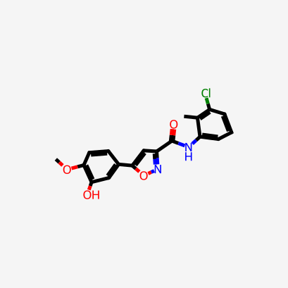 COc1ccc(-c2cc(C(=O)Nc3cccc(Cl)c3C)no2)cc1O